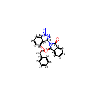 O=C1c2ccccc2C(=O)N1c1n[nH]c2cccc(OCc3ccccc3)c12